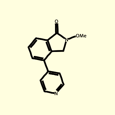 CON1Cc2c(cccc2-c2ccncc2)C1=O